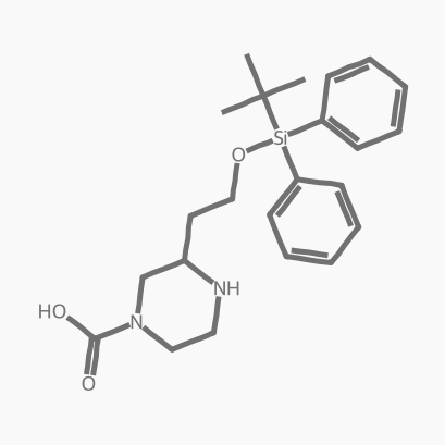 CC(C)(C)[Si](OCCC1CN(C(=O)O)CCN1)(c1ccccc1)c1ccccc1